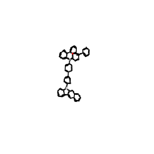 C1=C(c2ccc(N(c3ccc(-c4ccccc4)cc3)c3ccccc3-c3ccccc3)cc2)CCC(n2c3ccccc3c3cc4ccccc4cc32)=C1